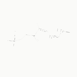 C=C(CCC(C)(F)F)/C(C)=C\N=C/NC